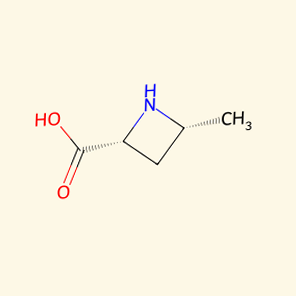 C[C@@H]1C[C@H](C(=O)O)N1